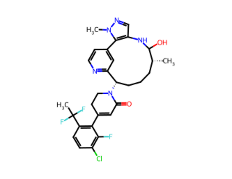 C[C@@H]1CCC[C@H](N2CCC(c3c(C(C)(F)F)ccc(Cl)c3F)=CC2=O)c2cc(ccn2)-c2c(cnn2C)NC1O